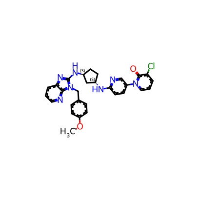 COc1ccc(Cn2c(N[C@H]3CC[C@H](Nc4ccc(-n5cccc(Cl)c5=O)cn4)C3)nc3cccnc32)cc1